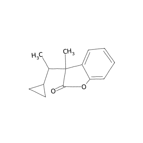 CC(C1CC1)C1(C)C(=O)Oc2ccccc21